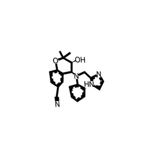 CC1(C)Oc2ccc(C#N)cc2[C@H](N(Cc2ncc[nH]2)c2ccccc2)[C@H]1O